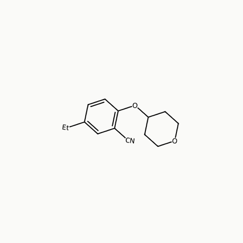 CCc1ccc(OC2CCOCC2)c(C#N)c1